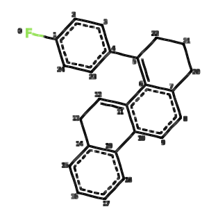 Fc1ccc(C2=c3c(ccc4c3=CCc3ccccc3-4)CCC2)cc1